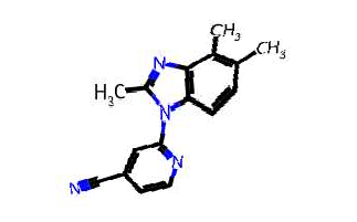 Cc1ccc2c(nc(C)n2-c2cc(C#N)ccn2)c1C